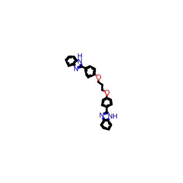 c1ccc2[nH]c(-c3ccc(OCCCOc4ccc(-c5nc6ccccc6[nH]5)cc4)cc3)nc2c1